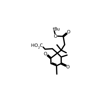 CC1=CC(=O)C(CCC(=O)O)(C(C)(C)CC(=O)OC(C)(C)C)C(C)C1=O